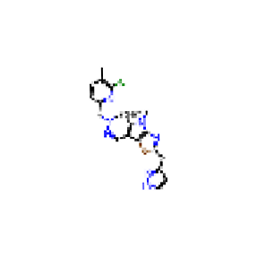 Cc1ccc(CN(C)/N=C\c2c(C=O)n(C)c3nc(Cc4cc[nH]n4)sc23)nc1Cl